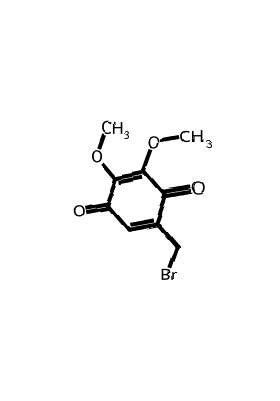 COC1=C(OC)C(=O)C(CBr)=CC1=O